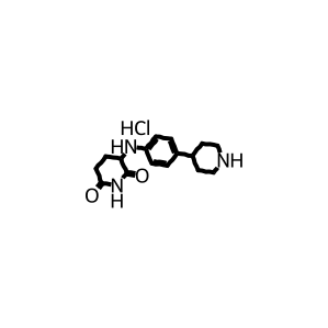 Cl.O=C1CCC(Nc2ccc(C3CCNCC3)cc2)C(=O)N1